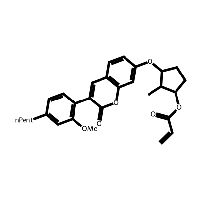 C=CC(=O)OC1CCC(Oc2ccc3cc(-c4ccc(CCCCC)cc4OC)c(=O)oc3c2)C1C